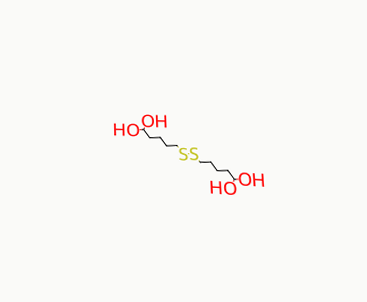 OC(O)CCCCSSCCCCC(O)O